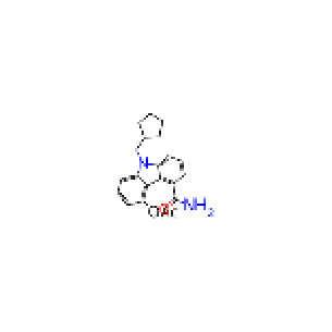 CC(=O)Oc1cccc2c1c1c(C(N)=O)cccc1n2CC1CCCC1